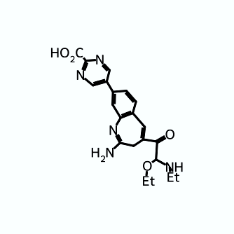 CCNC(OCC)C(=O)C1=Cc2ccc(-c3cnc(C(=O)O)nc3)cc2N=C(N)C1